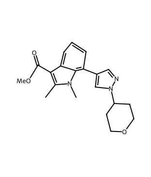 COC(=O)c1c(C)n(C)c2c(-c3cnn(C4CCOCC4)c3)cccc12